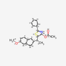 COc1ccc2cc(C(C)c3sc(-c4ccccc4)nc3OC(C)=O)ccc2c1